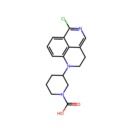 O=C(O)N1CCCC(N2CCc3cnc(Cl)c4cccc2c34)C1